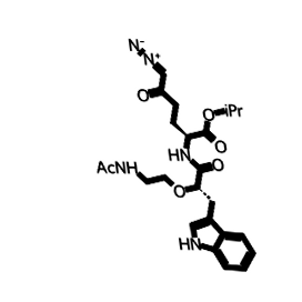 CC(=O)NCCO[C@@H](Cc1c[nH]c2ccccc12)C(=O)N[C@@H](CCC(=O)C=[N+]=[N-])C(=O)OC(C)C